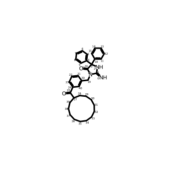 N=C1NC(c2ccccc2)(c2ccccc2)C(=O)N1Cc1cccc(C(=O)C2CCCCCCCCCCCC2)c1